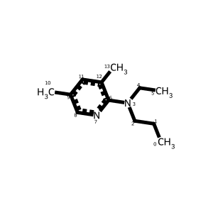 CCCN(CC)c1ncc(C)cc1C